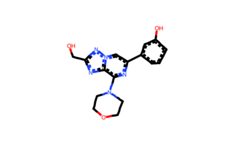 OCc1nc2c(N3CCOCC3)nc(-c3cccc(O)c3)cn2n1